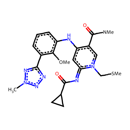 CNC(=O)c1cn(CSC)/c(=N/C(=O)C2CC2)cc1Nc1cccc(-c2nnn(C)n2)c1OC